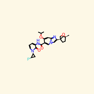 CC(C)Oc1cc2nc([C@]34CC[C@](C)(C3)OC4)cn2cc1C(=O)Nc1cccn([C@@H]2C[C@H]2F)c1=O